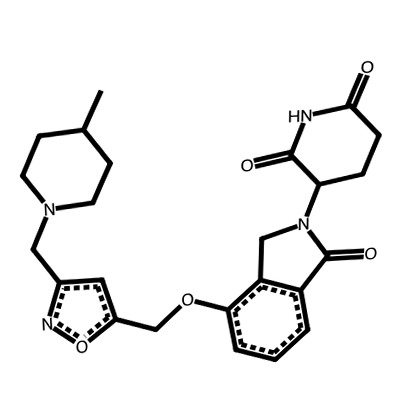 CC1CCN(Cc2cc(COc3cccc4c3CN(C3CCC(=O)NC3=O)C4=O)on2)CC1